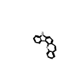 C1=Cc2ccc3[nH]c4ccccc4c3c2Sc2ccccc21